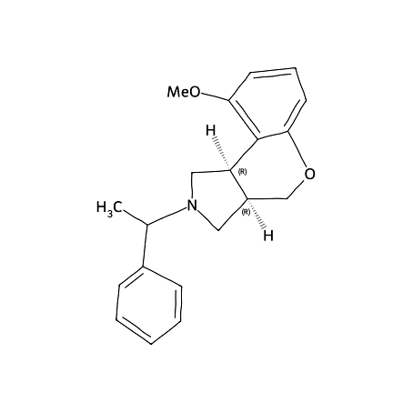 COc1cccc2c1[C@@H]1CN(C(C)c3ccccc3)C[C@@H]1CO2